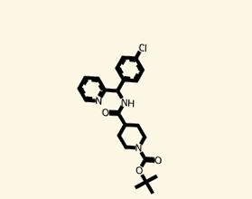 CC(C)(C)OC(=O)N1CCC(C(=O)NC(c2ccc(Cl)cc2)c2ccccn2)CC1